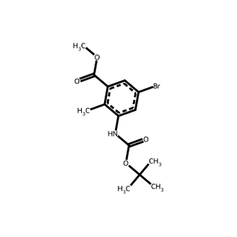 COC(=O)c1cc(Br)cc(NC(=O)OC(C)(C)C)c1C